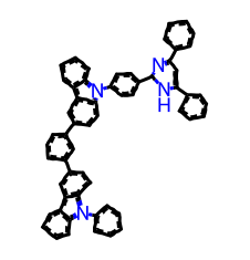 C1=C(c2ccccc2)NC(c2ccc(-n3c4ccccc4c4cc(-c5cccc(-c6ccc7c(c6)c6ccccc6n7-c6ccccc6)c5)ccc43)cc2)N=C1c1ccccc1